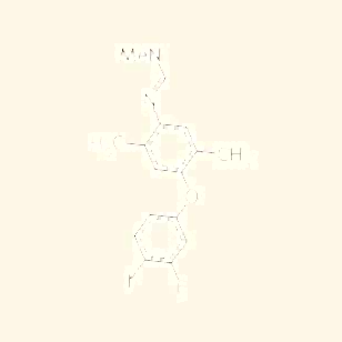 CNC=Nc1cc(C)c(Oc2ccc(I)c(F)c2)cc1C